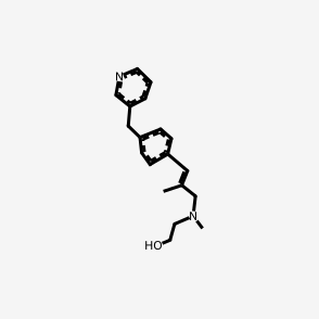 C/C(=C\c1ccc(Cc2cccnc2)cc1)CN(C)CCO